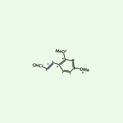 COc1ccc(/C=C/[C]=O)c(OC)c1